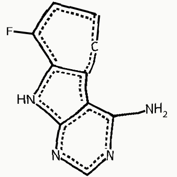 Nc1ncnc2[nH]c3c(F)cccc3c12